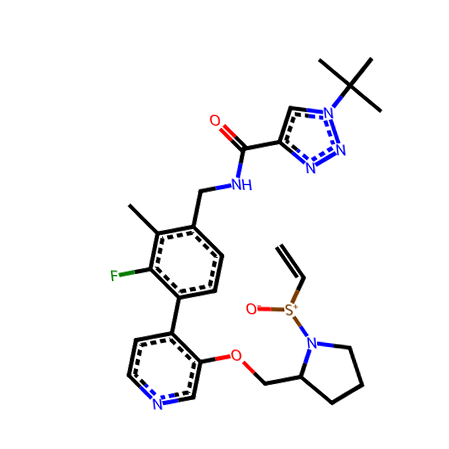 C=C[S+]([O-])N1CCCC1COc1cnccc1-c1ccc(CNC(=O)c2cn(C(C)(C)C)nn2)c(C)c1F